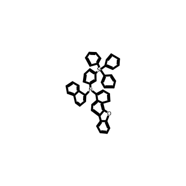 c1ccc([Si](c2ccccc2)(c2ccccc2)c2cccc(N(c3cccc4ccccc34)c3cccc4c3ccc3c5ccccc5oc43)c2)cc1